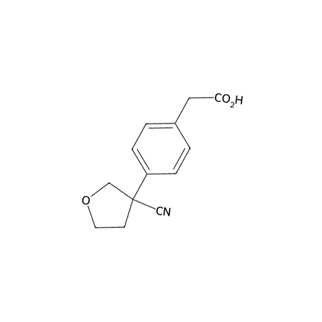 N#CC1(c2ccc(CC(=O)O)cc2)CCOC1